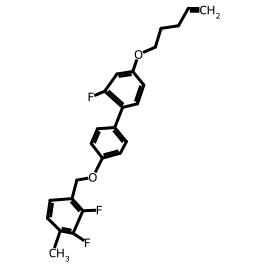 C=CCCCOc1ccc(-c2ccc(OCc3ccc(C)c(F)c3F)cc2)c(F)c1